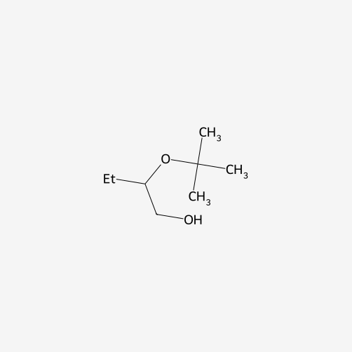 CCC(CO)OC(C)(C)C